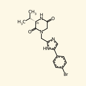 CC(C)[C@@H]1NC(=O)CN(Cc2ncc(-c3ccc(Br)cc3)[nH]2)C1=O